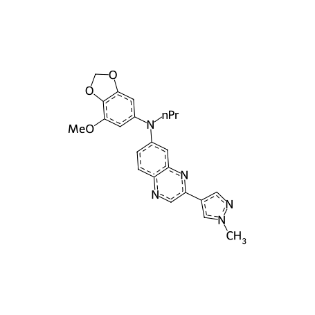 CCCN(c1cc(OC)c2c(c1)OCO2)c1ccc2ncc(-c3cnn(C)c3)nc2c1